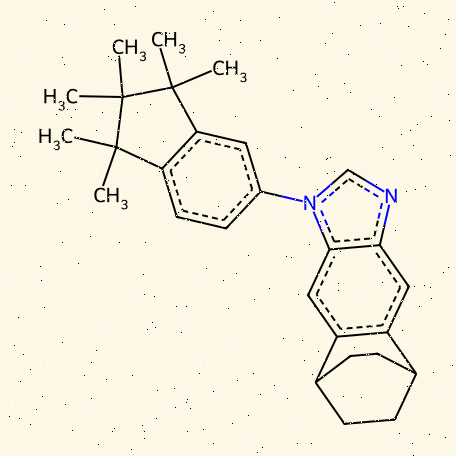 CC1(C)c2ccc(-n3cnc4cc5c(cc43)C3CCC5CC3)cc2C(C)(C)C1(C)C